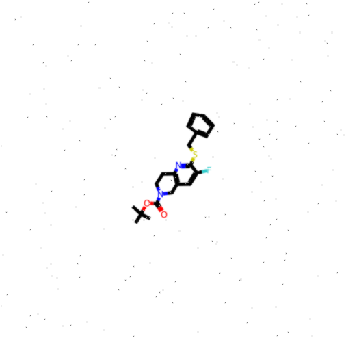 CC(C)(C)OC(=O)N1CCc2nc(SCc3ccccc3)c(F)cc2C1